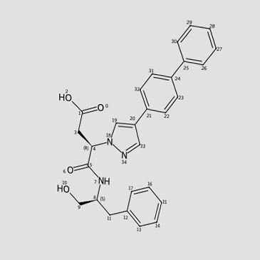 O=C(O)C[C@H](C(=O)N[C@H](CO)Cc1ccccc1)n1cc(-c2ccc(-c3ccccc3)cc2)cn1